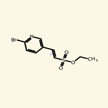 CCOS(=O)(=O)/C=C/c1ccc(Br)nc1